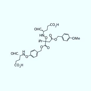 COc1ccc(COC(=O)CC(ON[C@@H](C=O)CCC(=O)O)(C(=O)OCc2ccc(ON[C@@H](C=O)CCC(=O)O)cc2)C(C)C)cc1